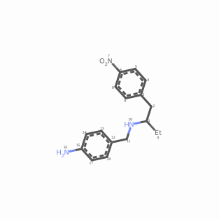 CCC(Cc1ccc([N+](=O)[O-])cc1)NCc1ccc(N)cc1